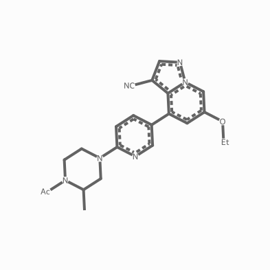 CCOc1cc(-c2ccc(N3CCN(C(C)=O)C(C)C3)nc2)c2c(C#N)cnn2c1